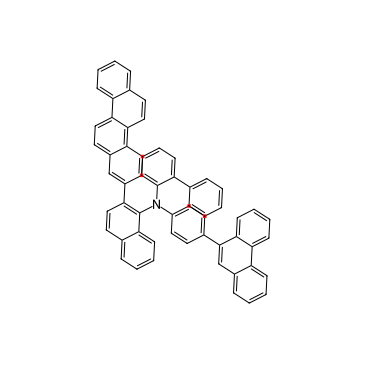 c1ccc(-c2ccccc2N(c2ccc(-c3cc4ccccc4c4ccccc34)cc2)c2c(-c3ccc4c(ccc5c6ccccc6ccc45)c3)ccc3ccccc23)cc1